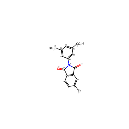 CCc1ccc2c(c1)C(=O)N(c1cc(C(=O)O)cc(C(=O)O)c1)C2=O